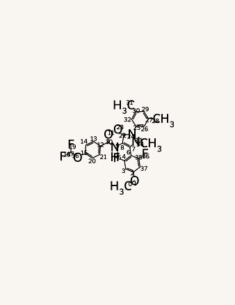 COc1cc(F)c(-c2c(NC(=O)c3ccc(OC(F)F)cc3)c(=O)n(-c3cc(C)cc(C)c3)n2C)c(F)c1